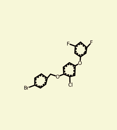 Fc1cc(F)cc(Oc2ccc(OCc3ccc(Br)cc3)c(Cl)c2)c1